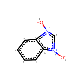 [O-][n+]1[c]n(O)c2ccccc21